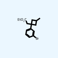 CCOC(=O)CC1(c2cccc(Br)c2)CC(C)C1